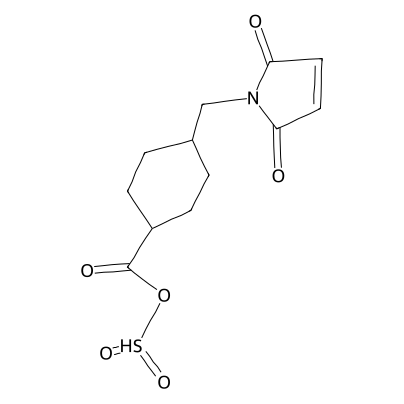 O=C(O[SH](=O)=O)C1CCC(CN2C(=O)C=CC2=O)CC1